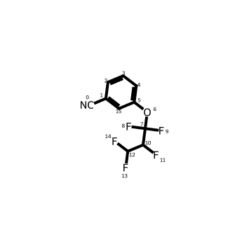 N#Cc1cccc(OC(F)(F)C(F)C(F)F)c1